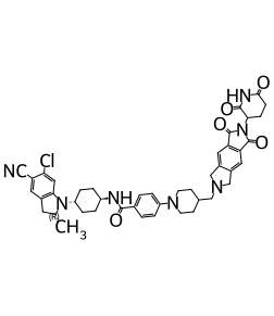 C[C@@H]1Cc2cc(C#N)c(Cl)cc2N1[C@H]1CC[C@H](NC(=O)c2ccc(N3CCC(CN4Cc5cc6c(cc5C4)C(=O)N(C4CCC(=O)NC4=O)C6=O)CC3)cc2)CC1